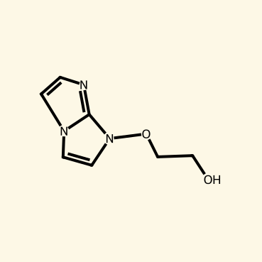 OCCOn1ccn2ccnc12